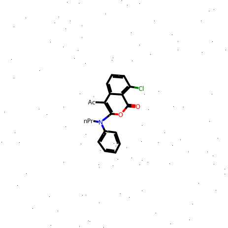 CCCN(c1ccccc1)c1oc(=O)c2c(Cl)cccc2c1C(C)=O